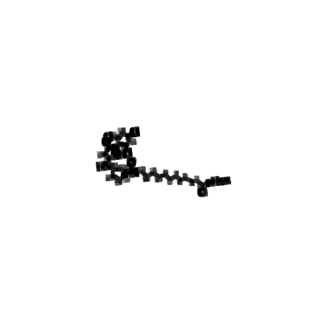 CCCCCCC(Cl)CCCCCCCCCCCNC(=O)c1cccc(Nc2cc(=O)n(-c3c(Cl)cc(Cl)cc3Cl)[nH]2)c1